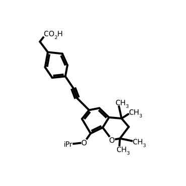 CC(C)Oc1cc(C#Cc2ccc(CC(=O)O)cc2)cc2c1OC(C)(C)CC2(C)C